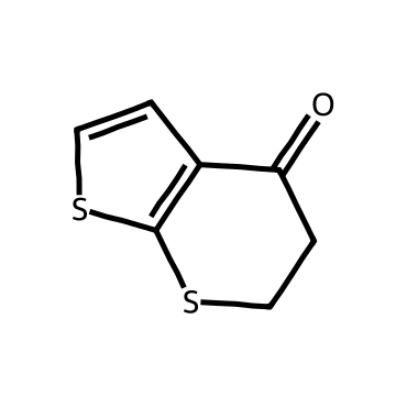 O=C1CCSc2sccc21